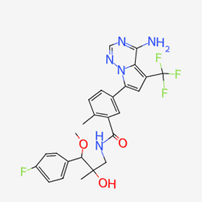 COC(c1ccc(F)cc1)C(C)(O)CNC(=O)c1cc(-c2cc(C(F)(F)F)c3c(N)ncnn23)ccc1C